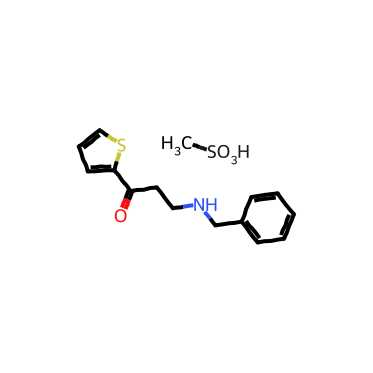 CS(=O)(=O)O.O=C(CCNCc1ccccc1)c1cccs1